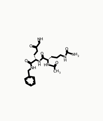 CC(=O)N[C@@H](CCCNC(N)=O)C(=O)N[C@@H](CCC(=O)C=N)C(=O)NCc1ccccc1